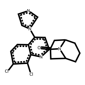 O=C1CC2CCCC(C1)N2c1cc(-n2ccnc2)c2ccc(Cl)c(Cl)c2n1